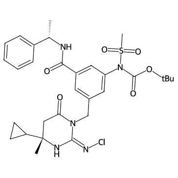 C[C@H](NC(=O)c1cc(CN2C(=O)C[C@@](C)(C3CC3)N/C2=N/Cl)cc(N(C(=O)OC(C)(C)C)S(C)(=O)=O)c1)c1ccccc1